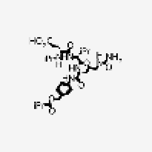 CC(C)N[C@H](CCC(=O)O)C(=O)N[C@@H](C(=O)N[C@@H](CCCNC(N)=O)C(=O)Nc1ccc(COC(=O)C(C)C)cc1)C(C)C